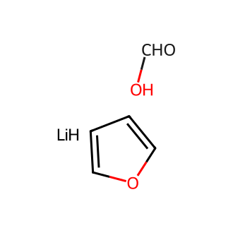 O=CO.[LiH].c1ccoc1